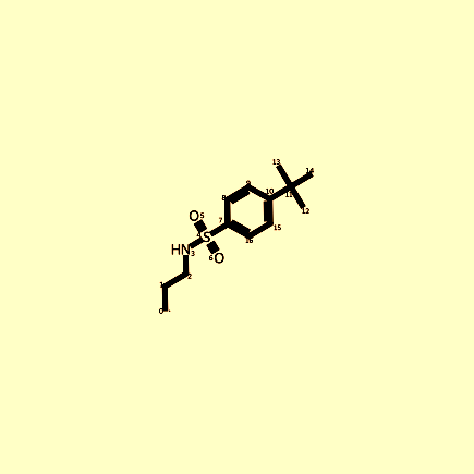 [CH2]CCNS(=O)(=O)c1ccc(C(C)(C)C)cc1